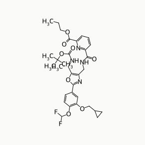 CCCOC(=O)c1cccc(C(=O)NCc2nc(-c3ccc(OC(F)F)c(OCC4CC4)c3)oc2[C@H](C)NC(=O)OC(C)(C)C)n1